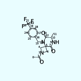 CC(=O)N1CC2(C1)C(=O)NC(C)C(=O)N2Cc1ccc(C(F)(F)F)cc1